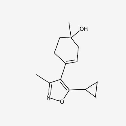 Cc1noc(C2CC2)c1C1=CCC(C)(O)CC1